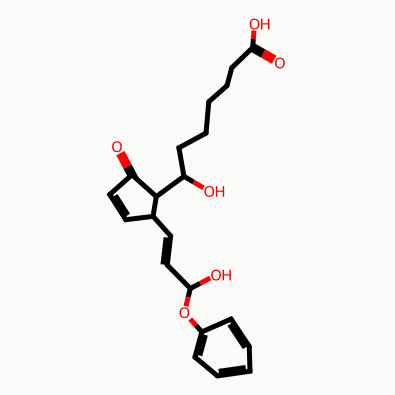 O=C(O)CCCCCC(O)C1C(=O)C=CC1C=CC(O)Oc1ccccc1